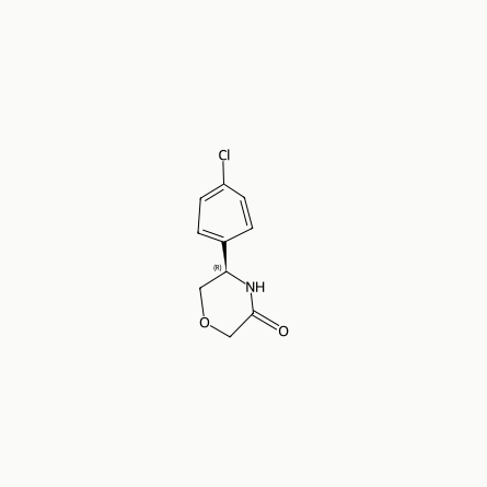 O=C1COC[C@@H](c2ccc(Cl)cc2)N1